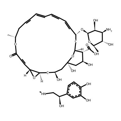 CNC[C@H](O)c1ccc(O)c(O)c1.C[C@@H]1C/C=C/C=C/C=C/C=C/[C@H](O[C@@H]2O[C@H](C)[C@@H](O)[C@H](N)[C@@H]2O)C[C@@H]2O[C@](O)(C[C@@H](O)C[C@H]3O[C@@H]3/C=C/C(=O)O1)C[C@H](O)[C@H]2C(=O)O